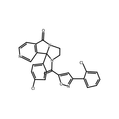 O=C(c1cc(-c2ccccc2Cl)no1)N1CCN2C(=O)c3ccncc3C12c1ccc(Cl)cc1